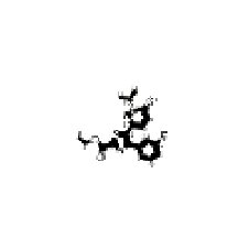 CCOC(=O)c1nc(-c2cccc(F)c2)c(-c2ccc(=O)n(C(C)C)n2)s1